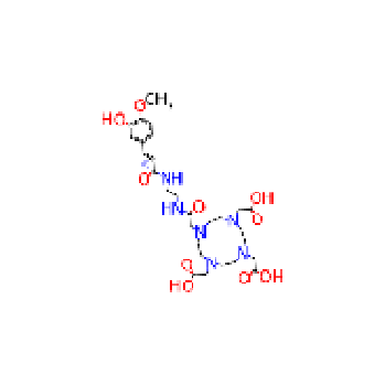 COc1ccc(/C=C/C(=O)NCCNC(=O)CN2CCN(CC(=O)O)CCN(CC(=O)O)CCN(CC(=O)O)CC2)cc1O